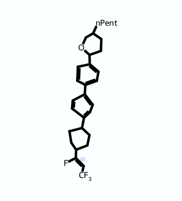 CCCCCC1CCC(c2ccc(-c3ccc(C4CCC(/C(F)=C/C(F)(F)F)CC4)cc3)cc2)OC1